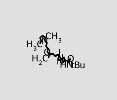 C=C/C(=C\C=C(/I)n1cc(C(=O)NC(C)(C)C)cn1)OCCCN1C(C)CCC1C